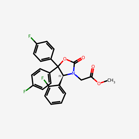 COC(=O)CN1C(=O)OC(c2ccc(F)cc2)(c2ccc(F)cc2)[C@@H]1c1ccccc1F